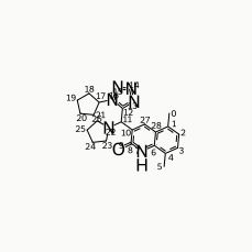 Cc1ccc(C)c2[nH]c(=O)c(C(c3nnnn3C3CCCC3)N3CCCC3)cc12